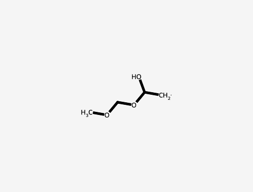 [CH2]C(O)OCOC